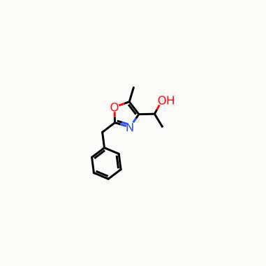 Cc1oc(Cc2ccccc2)nc1C(C)O